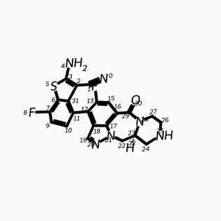 N#Cc1c(N)sc2c(F)ccc(-c3c(F)cc4c5c3cnn5C[C@@H]3CNCCN3C4=O)c12